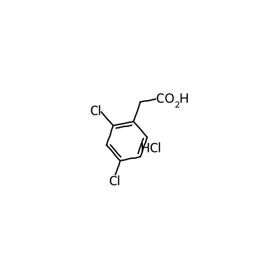 Cl.O=C(O)Cc1ccc(Cl)cc1Cl